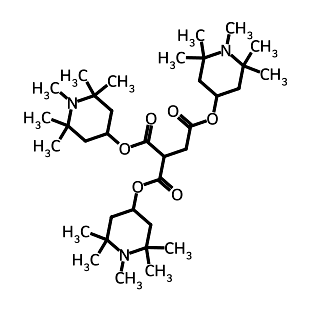 CN1C(C)(C)CC(OC(=O)CC(C(=O)OC2CC(C)(C)N(C)C(C)(C)C2)C(=O)OC2CC(C)(C)N(C)C(C)(C)C2)CC1(C)C